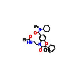 CCC(=O)NCCN1C(=O)C(C)(c2ccccc2)Oc2ccc(C(=O)N(C(C)C)C3CCCCC3)cc21